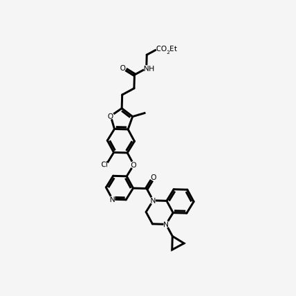 CCOC(=O)CNC(=O)CCc1oc2cc(Cl)c(Oc3ccncc3C(=O)N3CCN(C4CC4)c4ccccc43)cc2c1C